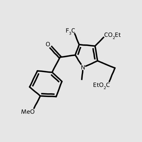 CCOC(=O)Cc1c(C(=O)OCC)c(C(F)(F)F)c(C(=O)c2ccc(OC)cc2)n1C